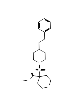 CC(C)(C)OC(=O)C1(S(=O)(=O)N2CCC(CCc3ccccc3)CC2)CCOCC1